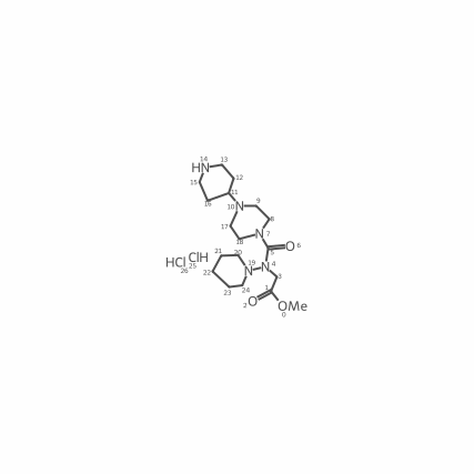 COC(=O)CN(C(=O)N1CCN(C2CCNCC2)CC1)N1CCCCC1.Cl.Cl